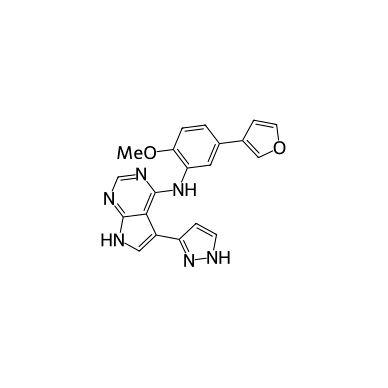 COc1ccc(-c2ccoc2)cc1Nc1ncnc2[nH]cc(-c3cc[nH]n3)c12